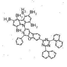 Bc1cc(B)c2c(c1B)c1c(B)c(B)cc(B)c1n2-c1cc(-c2ccccc2)c2oc3cc(-c4nc(-c5cccc6ccccc56)nc(-c5cccc6ccccc56)n4)ccc3c2c1